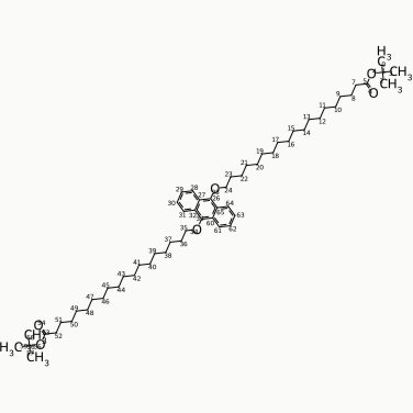 CC(C)(C)OC(=O)CCCCCCCCCCCCCCCCCCOc1c2ccccc2c(OCCCCCCCCCCCCCCCCCCC(=O)OC(C)(C)C)c2ccccc12